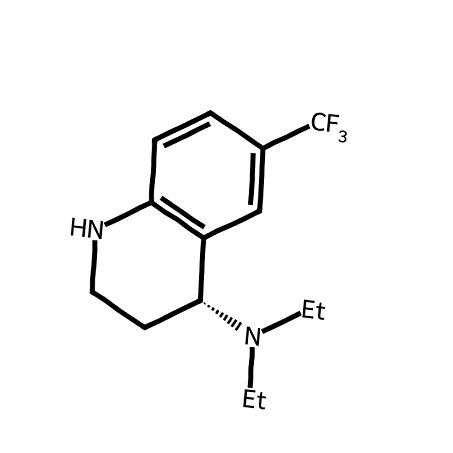 CCN(CC)[C@@H]1CCNc2ccc(C(F)(F)F)cc21